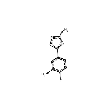 Bc1cc(-c2nnc(C)o2)ccc1F